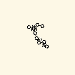 c1ccc(-c2cccc(-c3nc(-c4ccccc4)nc(-c4ccc(-c5ccc6c(c5)oc5c(-c7cccc8c7oc7ccccc78)cccc56)cc4)n3)c2)cc1